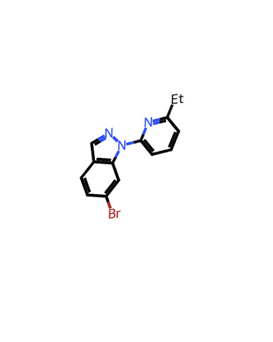 CCc1cccc(-n2ncc3ccc(Br)cc32)n1